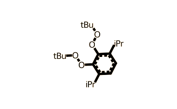 CC(C)c1ccc(C(C)C)c(OOC(C)(C)C)c1OOC(C)(C)C